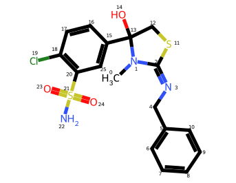 CN1C(=NCc2ccccc2)SCC1(O)c1ccc(Cl)c(S(N)(=O)=O)c1